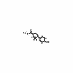 CC(C)(C)OC(=O)N1CCC(c2ccc(O)cc2)C(C)(C)C1